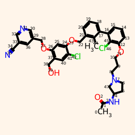 CC(=O)NC1CCN(CCCOc2cccc(-c3cccc(COc4cc(OCc5cncc(C#N)c5)c(CO)cc4Cl)c3C)c2Cl)C1